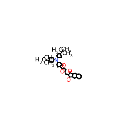 CC(C)(C)c1ccc(N(c2ccc(C(C)(C)C)cc2)c2ccc3c(c2)oc2cc(C=C4C(=O)c5cc6ccccc6cc5C4=O)oc23)cc1